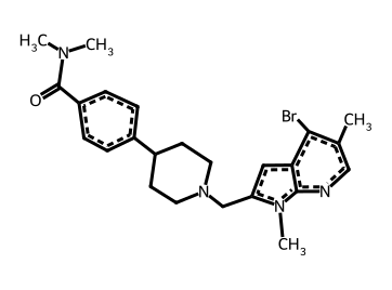 Cc1cnc2c(cc(CN3CCC(c4ccc(C(=O)N(C)C)cc4)CC3)n2C)c1Br